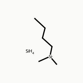 CCCC[Si](C)C.[SiH4]